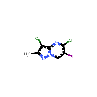 Cc1nn2cc(I)c(Cl)nc2c1Cl